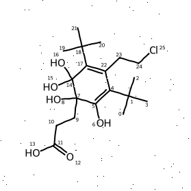 CC(C)(C)C1=C(O)C(O)(CCC(=O)O)C(O)(O)C(C(C)(C)C)=C1CCCl